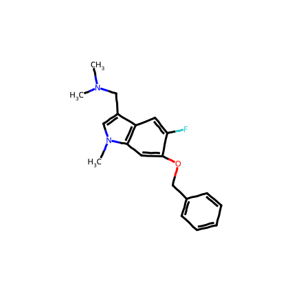 CN(C)Cc1cn(C)c2cc(OCc3ccccc3)c(F)cc12